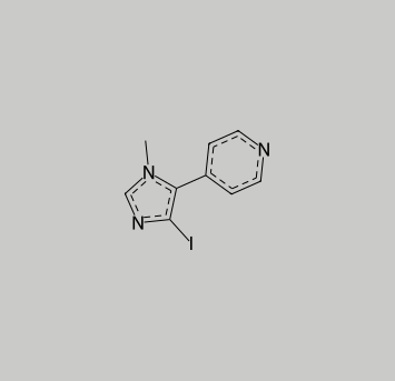 Cn1cnc(I)c1-c1ccncc1